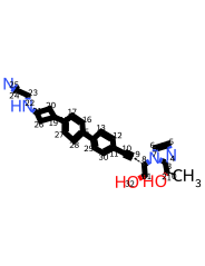 C[C@H](O)c1nccn1[C@@H](C#Cc1ccc(-c2ccc(C3CC(NCC#N)C3)cc2)cc1)CO